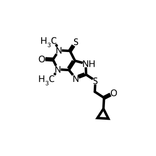 Cn1c(=S)c2[nH]c(SCC(=O)C3CC3)nc2n(C)c1=O